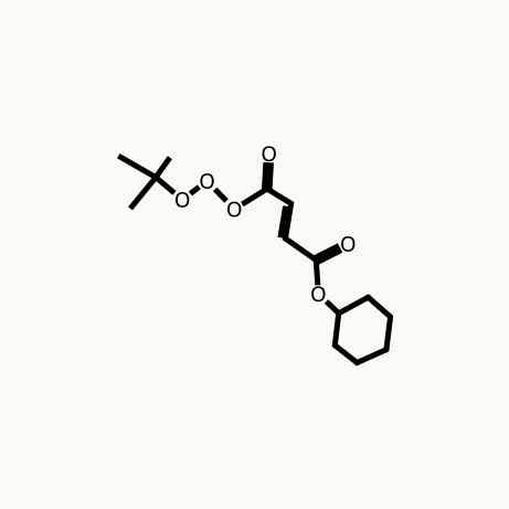 CC(C)(C)OOOC(=O)/C=C/C(=O)OC1CCCCC1